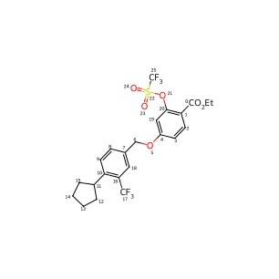 CCOC(=O)c1ccc(OCc2ccc(C3CCCC3)c(C(F)(F)F)c2)cc1OS(=O)(=O)C(F)(F)F